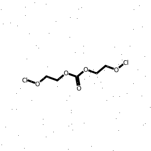 O=C(OCCOCl)OCCOCl